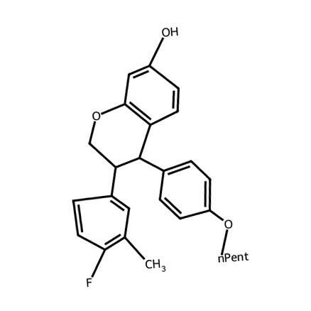 CCCCCOc1ccc(C2c3ccc(O)cc3OCC2c2ccc(F)c(C)c2)cc1